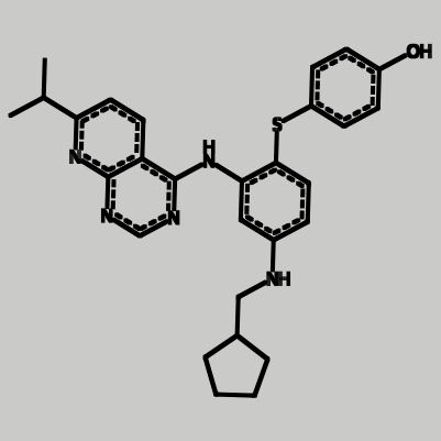 CC(C)c1ccc2c(Nc3cc(NCC4CCCC4)ccc3Sc3ccc(O)cc3)ncnc2n1